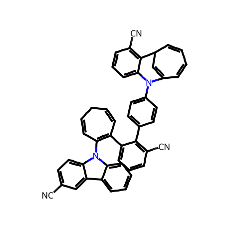 N#Cc1ccc2c(c1)c1ccccc1n2C1=C(c2cccc(C#N)c2-c2ccc(N3C4=CC(C=CC=C4)c4c(C#N)cccc43)cc2)C=CCC=C1